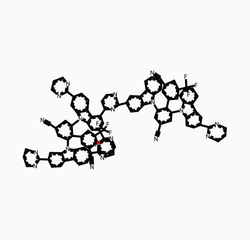 N#Cc1cc(-c2c(-n3c4ccccc4c4cc(-c5ncccn5)ccc43)cc(C#N)cc2-n2c3ccccc3c3cc(-c4nccc(-c5cc(-c6ncccn6)cc6c5c5ccc(-c7ncccn7)cc5n6-c5cc(C#N)cc(-n6c7cc(-c8ncccn8)ccc7c7ccc(-c8ncccn8)cc76)c5-c5cc(C#N)cc(C(F)(F)F)c5)n4)ccc32)cc(C(F)(F)F)c1